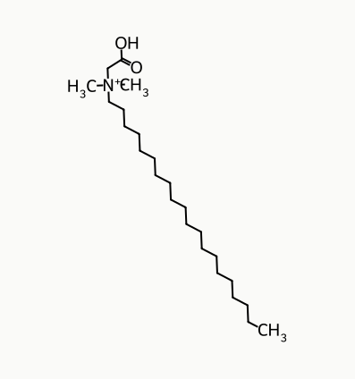 CCCCCCCCCCCCCCCCCCCC[N+](C)(C)CC(=O)O